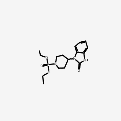 CCOP(=O)(OCC)N1CCC(n2c(=O)[nH]c3ccccc32)CC1